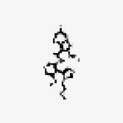 COCCn1cncc1-c1c(NC(=O)c2c(N)nn3cc(F)cnc23)cncc1OC